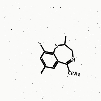 COC1=NCC(C)Sc2c(C)cc(C)cc21